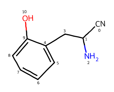 N#CC(N)Cc1ccccc1O